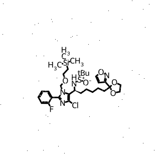 CC(C)(C)[S@@+]([O-])N[C@@H](CCCCCC1(c2ccon2)OCCO1)c1c(Cl)nc(-c2ccccc2F)n1COCC[Si](C)(C)C